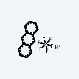 F[P-](F)(F)(F)(F)F.[H+].c1ccc2cc3ccccc3cc2c1